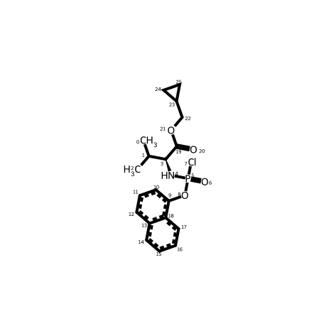 CC(C)[C@H](NP(=O)(Cl)Oc1cccc2ccccc12)C(=O)OCC1CC1